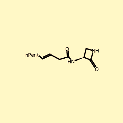 CCCCC/C=C/CC(=O)N[C@H]1CNC1=O